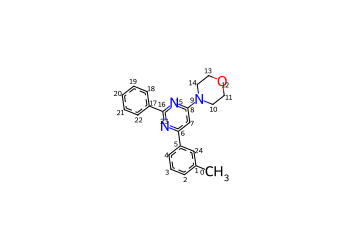 Cc1cccc(-c2cc(N3CCOCC3)nc(-c3ccccc3)n2)c1